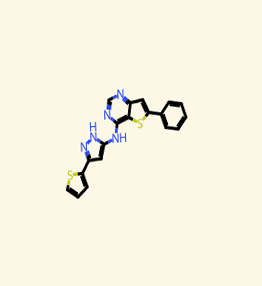 c1ccc(-c2cc3ncnc(Nc4cc(-c5cccs5)n[nH]4)c3s2)cc1